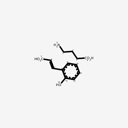 NCCCC(=O)O.O=C(O)C=Cc1ccccc1O